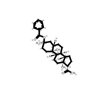 CC(=O)[C@H]1CC[C@H]2[C@@H]3CC[C@H]4C[C@](C)(OC(=O)c5ccccc5)CC[C@]4(C)[C@H]3CC[C@]12C